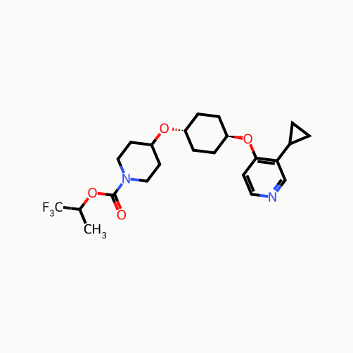 CC(OC(=O)N1CCC(O[C@H]2CC[C@H](Oc3ccncc3C3CC3)CC2)CC1)C(F)(F)F